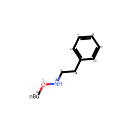 CCCCONCCc1c[c]ccc1